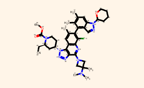 CCN(C)C1(C)CN(c2nc3c(F)c(-c4c(C)c(C)cc5c4cnn5C4CCCCO4)c(C)cc3c3c2nnn3[C@H]2CCN(C(=O)OC(C)(C)C)[C@H](CC#N)C2)C1